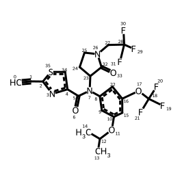 C#Cc1nc(C(=O)N(c2cc(OC(C)C)cc(OC(F)(F)F)c2)C2CCN(CC(F)(F)F)C2=O)cs1